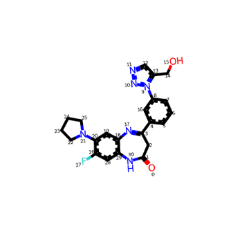 O=C1CC(c2cccc(-n3nncc3CO)c2)=Nc2cc(N3CCCC3)c(F)cc2N1